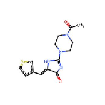 CC(=O)N1CCN(C2=NC(=O)C(=Cc3ccsc3)N2)CC1